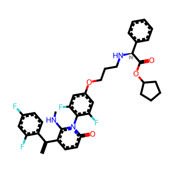 C=C(c1ccc(F)cc1F)c1ccc(=O)n(-c2c(F)cc(OCCCN[C@H](C(=O)OC3CCCC3)c3ccccc3)cc2F)c1NC